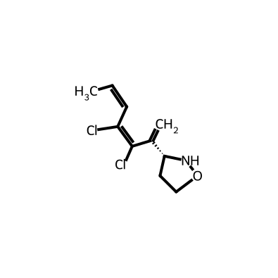 C=C(/C(Cl)=C(Cl)\C=C/C)[C@H]1CCON1